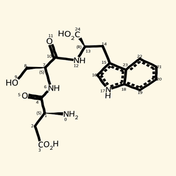 N[C@@H](CC(=O)O)C(=O)N[C@@H](CO)C(=O)N[C@H](Cc1c[nH]c2ccccc12)C(=O)O